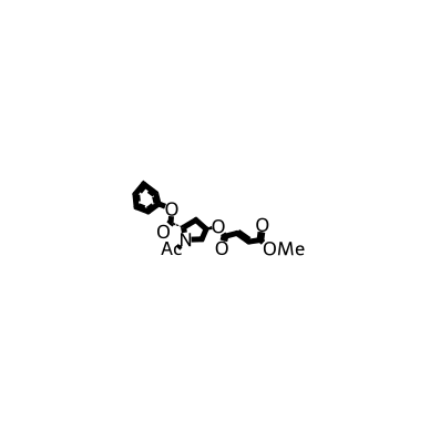 COC(=O)/C=C/C(=O)O[C@@H]1C[C@@H](C(=O)Oc2ccccc2)N(C(C)=O)C1